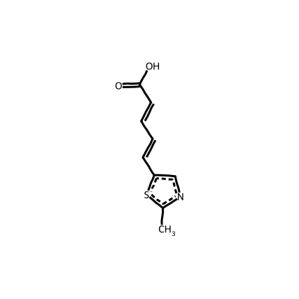 Cc1ncc(C=CC=CC(=O)O)s1